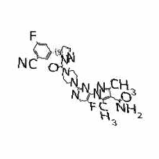 Cc1nn(-c2nc(N3CCN(C(=O)N4N=CC[C@H]4c4cc(F)cc(C#N)c4)CC3)ncc2F)c(C)c1C(N)=O